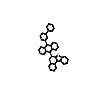 c1ccc(-c2cccc(-c3c4ccccc4c(C4Cc5ccccc5-c5c4sc4ccccc54)c4ccccc34)c2)cc1